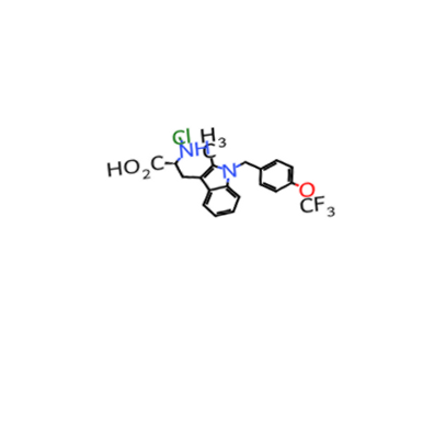 Cc1c(C[C@H](NCl)C(=O)O)c2ccccc2n1Cc1ccc(OC(F)(F)F)cc1